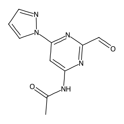 CC(=O)Nc1cc(-n2cccn2)nc(C=O)n1